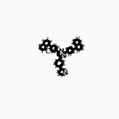 Cc1cccc2cccc(C3C=CC(c4cc(C5=CC=C(c6cccnc6)CC=C5)nc(-c5ccc(-c6cccc7ccccc67)cc5)n4)=CC3)c12